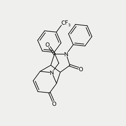 O=C1C=CC2C3C(=O)N(c4ccccc4)C(=O)C3C1N2Cc1cccc(C(F)(F)F)c1